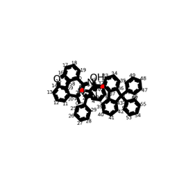 C/C(=N\c1ccccc1O)c1cccc2oc3cccc(-c4nc(-c5ccccc5)nc(-c5cccc6c5-c5ccccc5C6(c5ccccc5)c5ccccc5)n4)c3c12